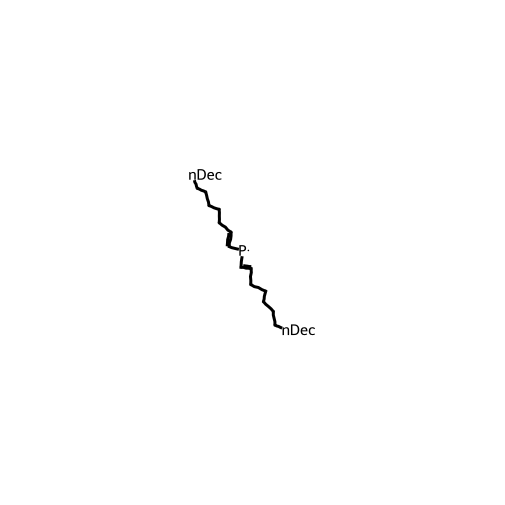 CCCCCCCCCCCCCCC/C=C/[P]/C=C/CCCCCCCCCCCCCCC